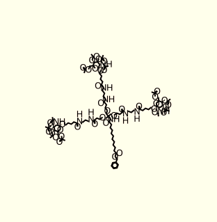 CC(=O)NC1C(OC(C)=O)[C@H](OC(C)=O)C(COC(C)=O)O[C@H]1OCCCCC(=O)NCCCNC(=O)CCOCC(COCCC(=O)NCCCNC(=O)CCCCO[C@@H]1OC(COC(C)=O)[C@@H](OC(C)=O)C(OC(C)=O)C1NC(C)=O)(COCCC(=O)NCCCNC(=O)CCCCO[C@@H]1OC(COC(C)=O)[C@@H](OC(C)=O)C(OC(C)=O)C1NC(C)=O)NC(=O)CCCCCCCCCCC(=O)OCc1ccccc1